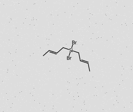 CC=CC[Si](Br)(Br)CC=CC